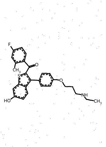 CCNCCCOc1ccc(-c2c(C(=O)c3ccc(F)cc3C)sc3cc(O)ccc23)cc1